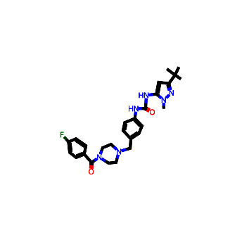 Cn1nc(C(C)(C)C)cc1NC(=O)Nc1ccc(CN2CCN(C(=O)c3ccc(F)cc3)CC2)cc1